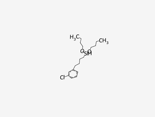 CCCCO[SiH](CCCCc1cccc(Cl)c1)OCCCC